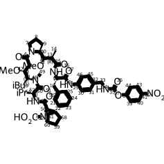 CC[C@H](C)[C@@H]([C@@H](CC(=O)N1CCC[C@H]1[C@H](OC)[C@@H](C)C(=O)N[C@@H](Cc1ccccc1)C(=O)Nc1ccc(CNC(=O)Oc2ccc([N+](=O)[O-])cc2)cc1)OC)N(C)C(=O)[C@@H](NC(=O)C1C2CCC(C2)N1C(=O)O)C(C)C